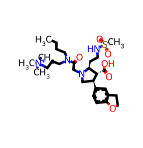 CCCCN(CCC[N+](C)(C)C)C(=O)CN1C[C@H](c2ccc3c(c2)CCO3)[C@@H](C(=O)O)[C@@H]1CCNS(C)(=O)=O